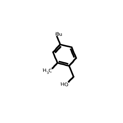 CCC(C)c1ccc(CO)c(C)c1